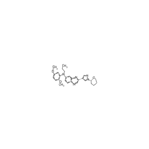 CCCN(c1ccc2ncc(-c3cnn(C4CCCCO4)c3)nc2c1)c1cc(OC)ccc1OC